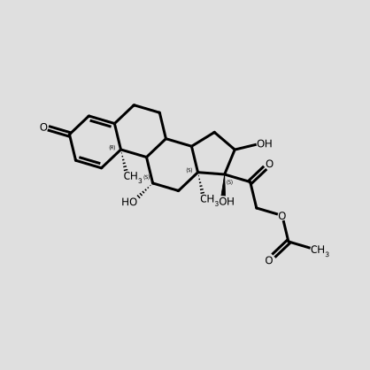 CC(=O)OCC(=O)[C@@]1(O)C(O)CC2C3CCC4=CC(=O)C=C[C@]4(C)C3[C@@H](O)C[C@@]21C